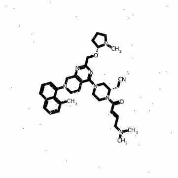 Cc1cccc2cccc(N3CCc4c(nc(CO[C@@H]5CCCN5C)nc4N4CCN(C(=O)/C=C/CN(C)C)[C@@H](CC#N)C4)C3)c12